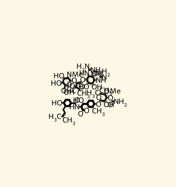 CN[C@@H]1[C@H](O[C@H]2[C@H](O[C@H]3[C@H](O)[C@@H](O)[C@H](NC(=N)N)[C@@H](O)[C@@H]3NC(=N)N)O[C@@H](C)[C@]2(O)C=O)O[C@@H](CO)[C@H](O)[C@H]1O.CO[C@@H]1[C@@H](OC(N)=O)[C@@H](O)[C@H](Oc2ccc3c(O)c(NC(=O)c4ccc(O)c(CC=C(C)C)c4)c(=O)oc3c2C)OC1(C)C